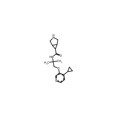 CC(C)(COc1cnccc1C1CC1)NC(=O)C1C2CNCC21